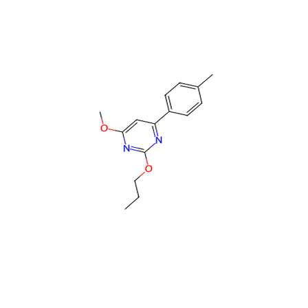 CCCOc1nc(OC)cc(-c2ccc(C)cc2)n1